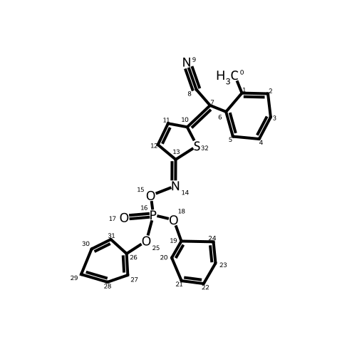 Cc1ccccc1/C(C#N)=C1C=C/C(=N\OP(=O)(Oc2ccccc2)Oc2ccccc2)S/1